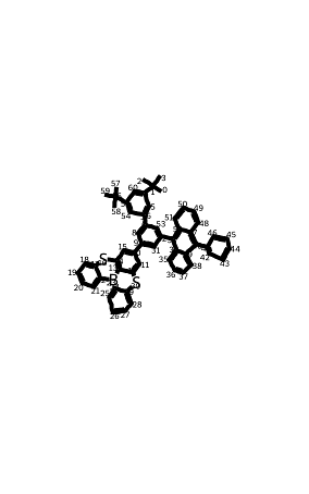 CC(C)(C)c1cc(-c2cc(-c3cc4c5c(c3)Sc3ccccc3B5c3ccccc3S4)cc(-c3c4ccccc4c(-c4ccccc4)c4ccccc34)c2)cc(C(C)(C)C)c1